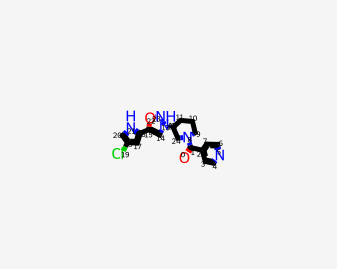 O=C(c1ccncc1)N1CCC[C@H](N2C=C(c3cc(Cl)c[nH]3)ON2)C1